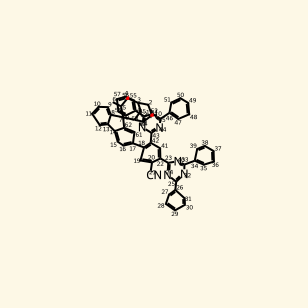 CC1CC2CC(C)C3(c4ccccc4-c4ccc(-c5cc(C#N)c(-c6nc(-c7ccccc7)nc(-c7ccccc7)n6)cc5-c5nc(-c6ccccc6)nc(-c6ccccc6)n5)cc43)C(C1)C2